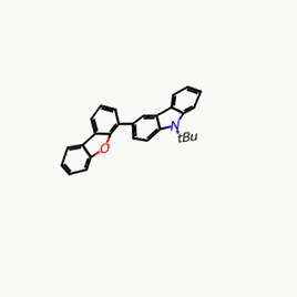 CC(C)(C)n1c2ccccc2c2cc(-c3cccc4c3oc3ccccc34)ccc21